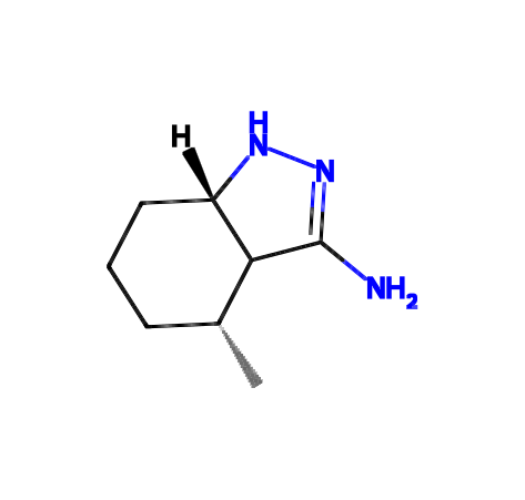 C[C@@H]1CCC[C@@H]2NN=C(N)C12